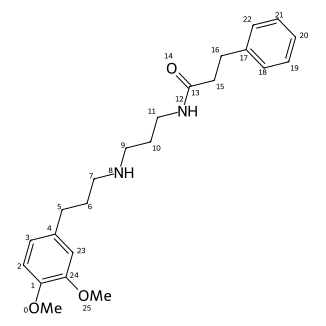 COc1ccc(CCCNCCCNC(=O)CCc2ccccc2)cc1OC